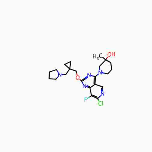 CC1(O)CCCN(c2nc(OCC3(CN4CCCC4)CC3)nc3c(F)c(Cl)ncc23)C1